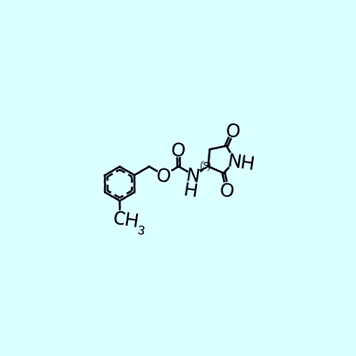 Cc1cccc(COC(=O)N[C@H]2CC(=O)NC2=O)c1